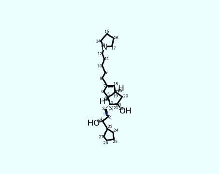 O[C@H](/C=C/[C@@H]1[C@H]2CC(CCCCCN3CCCC3)=C[C@H]2C[C@H]1O)C1CCCC1